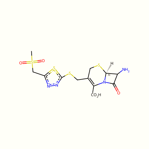 CS(=O)(=O)Cc1nnc(SCC2=C(C(=O)O)N3C(=O)C(N)[C@@H]3SC2)s1